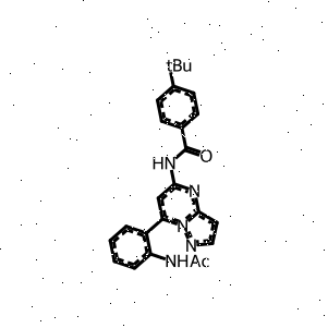 CC(=O)Nc1ccccc1-c1cc(NC(=O)c2ccc(C(C)(C)C)cc2)nc2ccnn12